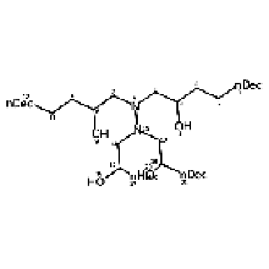 CCCCCCCCCCCCC(O)CN(CC(O)CCCCCCCCCCCC)N(CC(O)CCCCCC)CC(O)CCCCCCCCCC